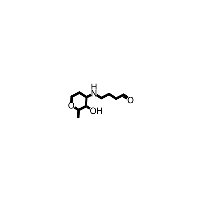 CC1OCCC(NCCCC=O)C1O